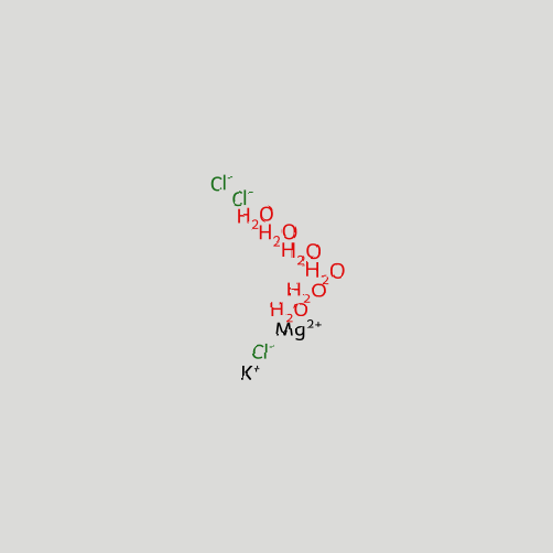 O.O.O.O.O.O.[Cl-].[Cl-].[Cl-].[K+].[Mg+2]